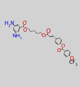 Nc1cc(N)cc(C(=O)OCCCCCOC(=O)/C=C/c2ccc(OC(=O)c3ccc(OC(F)(F)F)cc3)cc2)c1